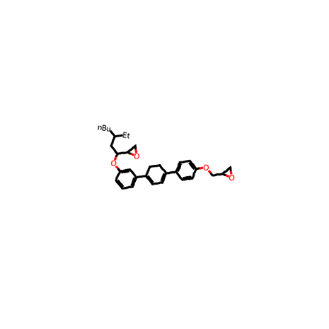 CCCCC(CC)CC(Oc1cccc(C2=CC=C(c3ccc(OCC4CO4)cc3)CC2)c1)C1CO1